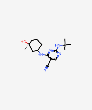 CC(C)(C)Nc1ncc(C#N)c(N[C@@H]2CCC[C@](C)(O)C2)n1